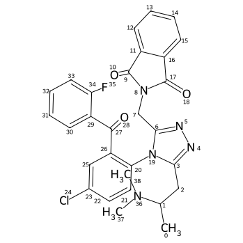 CC(Cc1nnc(CN2C(=O)c3ccccc3C2=O)n1-c1ccc(Cl)cc1C(=O)c1ccccc1F)N(C)C